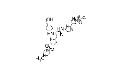 CN1CCN(S(=O)(=O)c2ccc(-c3cnc(Nc4ccnc(-c5cnn(S(=O)(=O)C6CC6)c5)n4)cc3NC3CCC(CO)CC3)nc2)CC1